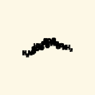 Nc1ccc2c(c1)oc1cc(NC(=O)c3ccc4oc5ccc(C(=O)Nc6ccc7c(c6)oc6cc(N)ccc67)cc5c(=O)c4c3)ccc12